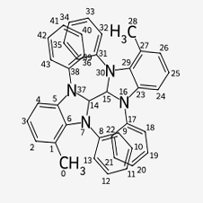 Cc1cccc2c1N(c1ccccc1)C(C1N(c3ccccc3)c3cccc(C)c3N1c1ccccc1)N2c1ccccc1